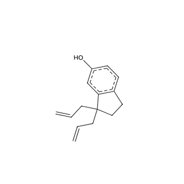 C=CCC1(CC=C)CCc2ccc(O)cc21